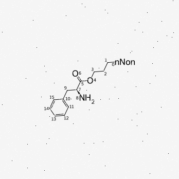 CCCCCCCCCCCCOC(=O)[C@@H](N)Cc1ccccc1